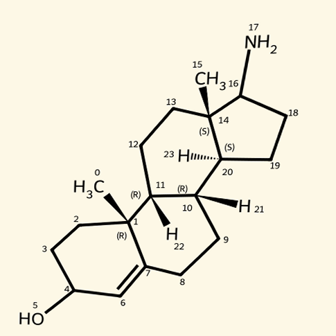 C[C@]12CCC(O)C=C1CC[C@@H]1[C@H]2CC[C@]2(C)C(N)CC[C@@H]12